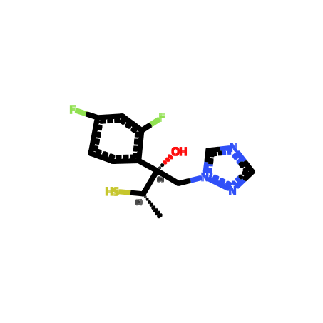 C[C@H](S)[C@](O)(Cn1cncn1)c1ccc(F)cc1F